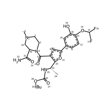 [CH2]N1CCN(C(=O)c2nc(-c3ccc(OC(F)F)c(O)c3)oc2[C@H](C)NC(=O)OC(C)(C)C)C(C(N)=O)C1